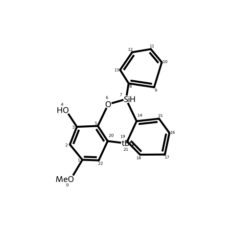 COc1cc(O)c(O[SiH](c2ccccc2)c2ccccc2)c(C(C)(C)C)c1